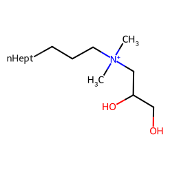 CCCCCCCCCC[N+](C)(C)CC(O)CO